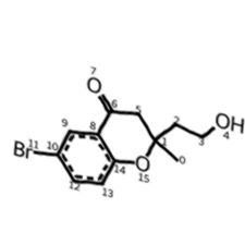 CC1(CCO)CC(=O)c2cc(Br)ccc2O1